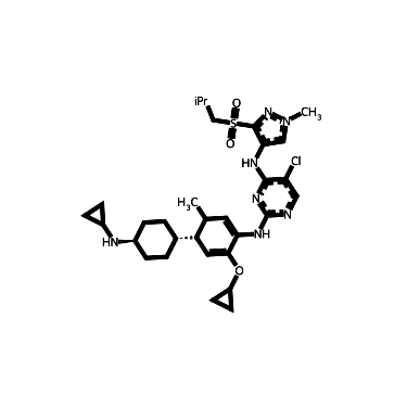 CC(C)CS(=O)(=O)c1nn(C)cc1Nc1nc(NC2=CC(C)C([C@H]3CC[C@H](NC4CC4)CC3)C=C2OC2CC2)ncc1Cl